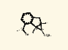 CCOC(=O)[C@@H]1[C@H]2Cc3cccc([C@@H](C)O)c3[C@H]21